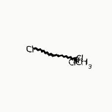 C[Si](Cl)(Cl)CCCCCCCCCCCCCCCCCCCCl